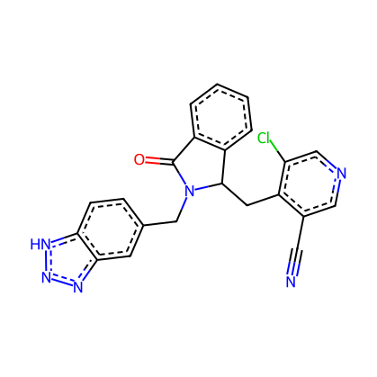 N#Cc1cncc(Cl)c1CC1c2ccccc2C(=O)N1Cc1ccc2[nH]nnc2c1